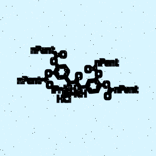 CCCCCC(=O)Oc1ccc(C(NC(C)C)C(=O)C(NC(C)C)c2ccc(OC(=O)CCCCC)c(OC(=O)CCCCC)c2)cc1OC(=O)CCCCC.Cl